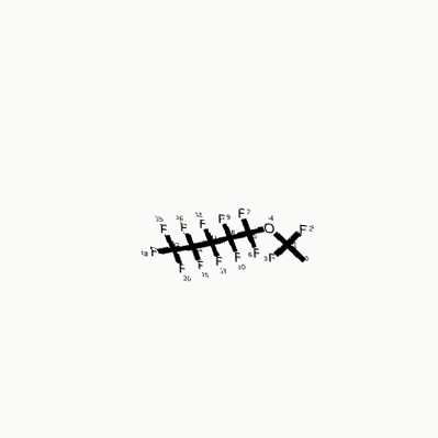 CC(F)(F)OC(F)(F)C(F)(F)C(F)(F)C(F)(F)C(F)(F)F